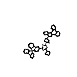 c1ccc(-c2nc(-c3ccc(-c4cc5c6ccccc6c6ccccc6c5c5ccccc45)cc3)nc(-c3ccc4c(c3)-c3ccccc3C43c4ccccc4-c4ccccc43)n2)cc1